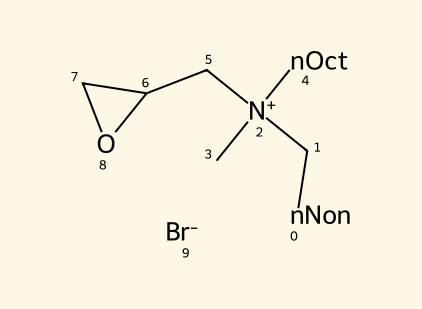 CCCCCCCCCC[N+](C)(CCCCCCCC)CC1CO1.[Br-]